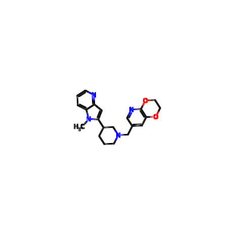 Cn1c(C2CCCN(Cc3cnc4c(c3)OCCO4)C2)cc2ncccc21